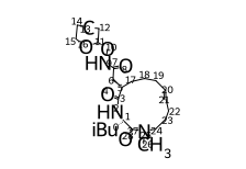 CC[C@@H](C)[C@@H]1NC(=O)[C@@H](CC(=O)NOC2CCCCO2)CCC/C=C/CCCN(C)C1=O